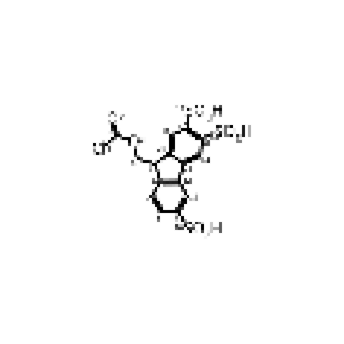 O=C(Cl)OCC1c2ccc(S(=O)(=O)O)cc2-c2cc(S(=O)(=O)O)c(S(=O)(=O)O)cc21